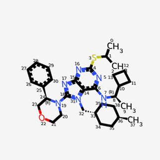 CC(C)Sc1nc(N[C@H](C)C2CCC2)c2c(n1)nc(N1CCOC[C@H]1c1ccccc1)n2C[C@H]1CC[C@H](C)CC1